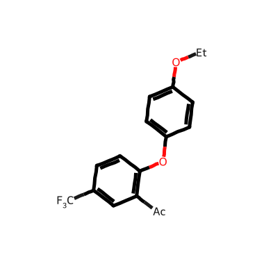 CCOc1ccc(Oc2ccc(C(F)(F)F)cc2C(C)=O)cc1